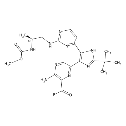 COC(=O)N[C@@H](C)CNc1nccc(-c2[nH]c(C(C)(C)C)nc2-c2cnc(N)c(C(=O)F)n2)n1